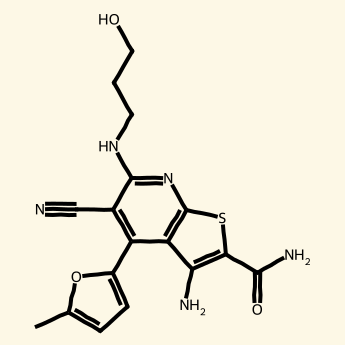 Cc1ccc(-c2c(C#N)c(NCCCO)nc3sc(C(N)=O)c(N)c23)o1